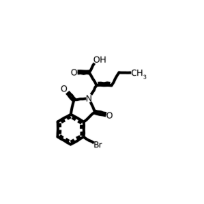 CCC=C(C(=O)O)N1C(=O)c2cccc(Br)c2C1=O